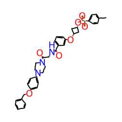 Cc1ccc(S(=O)(=O)O[C@H]2C[C@H](Oc3cccc(C(=O)NCC(=O)N4CCN(c5ccc(OCc6ccccc6)cc5)CC4)c3)C2)cc1